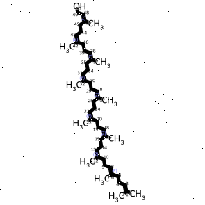 CC(C)=CCC/C(C)=C/CC/C(C)=C\CC/C(C)=C\CC/C(C)=C\CC/C(C)=C\CC/C(C)=C\CC/C(C)=C\CC/C(C)=C\CC/C(C)=C\CO